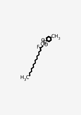 CCCCCCCCCCCCCC=C(F)COS(=O)(=O)c1ccc(C)cc1